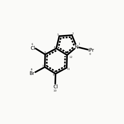 CC(C)n1ccc2c(Cl)c(Br)c(Cl)cc21